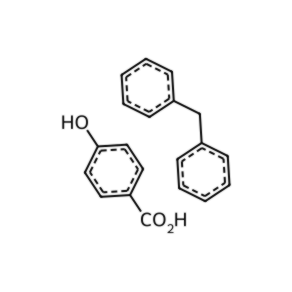 O=C(O)c1ccc(O)cc1.c1ccc(Cc2ccccc2)cc1